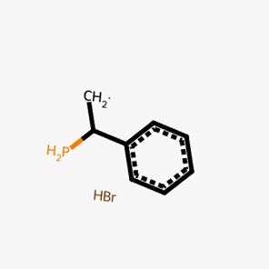 Br.[CH2]C(P)c1ccccc1